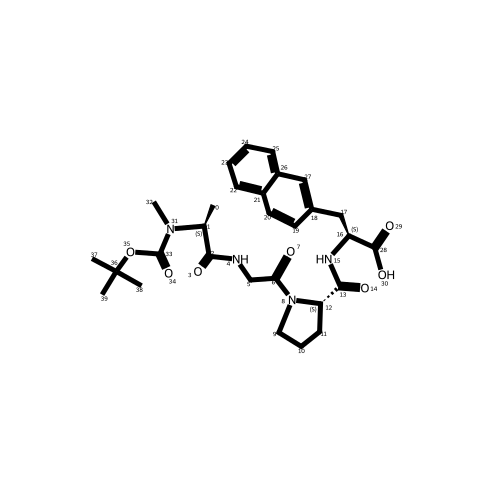 C[C@@H](C(=O)NCC(=O)N1CCC[C@H]1C(=O)N[C@@H](Cc1ccc2ccccc2c1)C(=O)O)N(C)C(=O)OC(C)(C)C